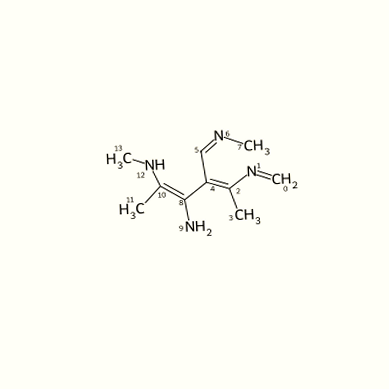 C=N/C(C)=C(\C=N/C)C(/N)=C(/C)NC